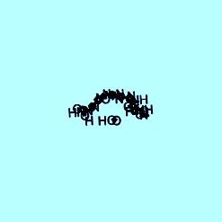 CCN(C)S(=O)(=O)Nc1ccc(F)c(C(=O)c2c[nH]c3ncc(-c4cnc(N5CCC(N(C)C(=O)CN6CCC(c7ccc(NC8CCC(=O)NC8=O)cn7)CC6)CC5)nc4)cc23)c1F.O=CO